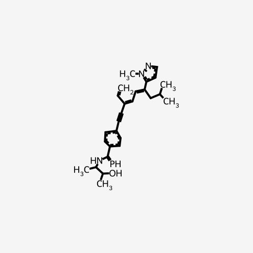 C=C/C(C#Cc1ccc(C(=P)NC(C)C(C)O)cc1)=C\C=C(/CC(C)C)c1ccnn1C